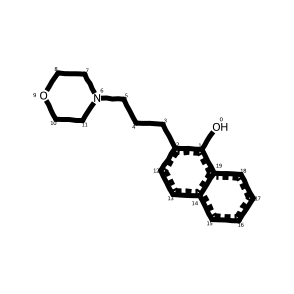 Oc1c(CCCN2CCOCC2)ccc2ccccc12